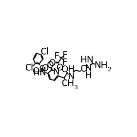 CC(C(=O)NCCONC(=N)N)c1ccc(NS(=O)(=O)c2cc(Cl)ccc2Cl)c(=O)n1OC(=O)C(F)(F)F